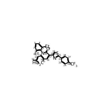 CCc1cccc(CC)c1-n1c(C=C(C)C)c(C(=O)O)cc(-c2csc(-c3ccc(C(F)(F)F)cc3)n2)c1=O